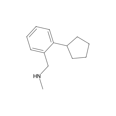 CNCc1ccccc1C1CCCC1